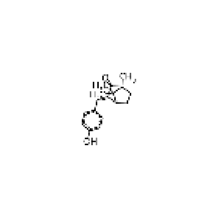 CC12CCC(C(=Cc3ccc(O)cc3)C1=O)C2(C)C